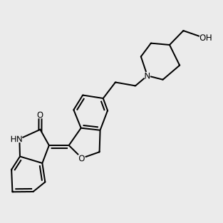 O=C1Nc2ccccc2C1=C1OCc2cc(CCN3CCC(CO)CC3)ccc21